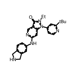 CCn1c(=O)c2cnc(Nc3ccc4c(c3)CNC4)cc2n1-c1ccnc(C(C)(C)C)c1